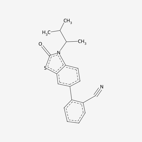 CC(C)C(C)n1c(=O)sc2cc(-c3ccccc3C#N)ccc21